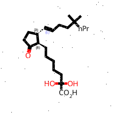 CCCC(C)(C)CC/C=C/[C@H]1CCC(=O)[C@@H]1CCCCCC(O)(O)C(=O)O